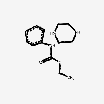 C1CNCCN1.CCOC(=O)Nc1ccccc1